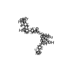 CCCS(=O)(=O)Nc1ccc(F)c(-c2c[nH]c3ncc(-c4ccc(C(=O)NCCCC(=O)N[C@H](C(=O)N5C[C@H](O)C[C@H]5C(=O)NCc5ccc(-c6scnc6C)cc5)C(C)(C)C)cc4)cc23)c1F